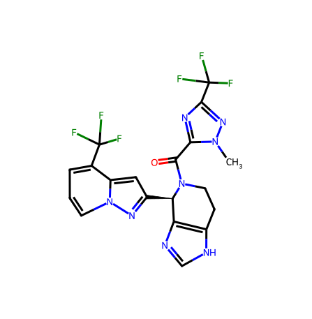 Cn1nc(C(F)(F)F)nc1C(=O)N1CCc2[nH]cnc2[C@H]1c1cc2c(C(F)(F)F)cccn2n1